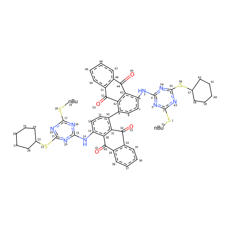 CCCCSc1nc(Nc2ccc(-c3ccc(Nc4nc(SCCCC)nc(SC5CCCCC5)n4)c4c3C(=O)c3ccccc3C4=O)c3c2C(=O)c2ccccc2C3=O)nc(SC2CCCCC2)n1